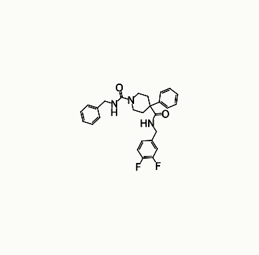 O=C(NCc1ccccc1)N1CCC(C(=O)NCc2ccc(F)c(F)c2)(c2ccccc2)CC1